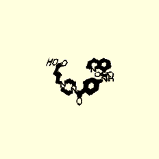 O=C(O)CCCN1CCN(C(=O)c2ccc(NS(=O)(=O)c3cccc4cccnc34)cc2)CC1